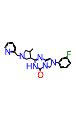 CC1CN(Cc2ccccn2)CC1C1=NC2=CN(c3cccc(F)c3)CN2C(=O)N1